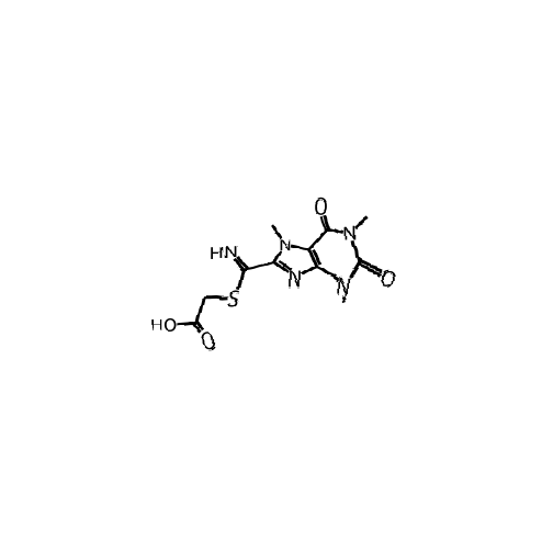 Cn1c(=O)c2c(nc(C(=N)SCC(=O)O)n2C)n(C)c1=O